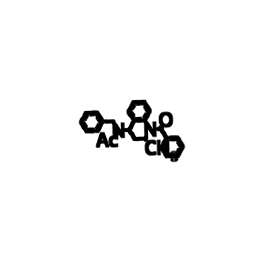 CC(=O)N(Cc1ccccc1)C1CC(C)N(C(=O)c2ccccc2)c2ccccc21